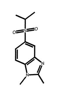 Cc1nc2cc(S(=O)(=O)C(C)C)ccc2n1C